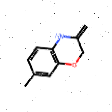 C=C1COc2cc(C)ccc2N1